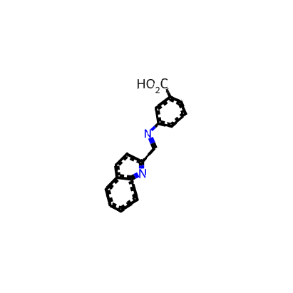 O=C(O)c1cccc(/N=C/c2ccc3ccccc3n2)c1